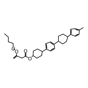 C=C(CC(=O)OC1CCC(c2ccc(C3CCC(c4ccc(C)cc4)CC3)cc2)CC1)OOCCCC